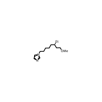 CC[C@H](CCCCCn1ccnc1)CCOC